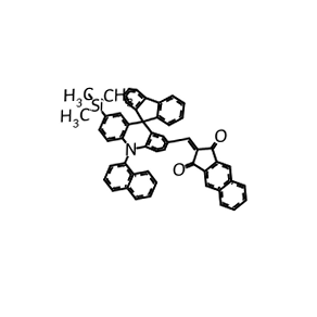 C[Si](C)(C)c1ccc2c(c1)C1(c3ccccc3-c3ccccc31)c1cc(C=C3C(=O)c4cc5ccccc5cc4C3=O)ccc1N2c1cccc2ccccc12